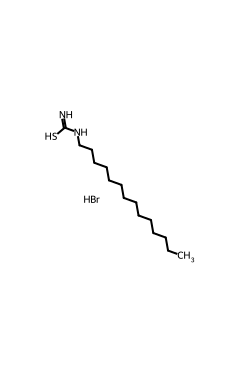 Br.CCCCCCCCCCCCCCNC(=N)S